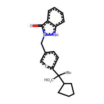 CC(C)(C)C(C(=O)O)(c1ccc(Cn2[nH]c3ccccc3c2=O)cc1)C1CCCC1